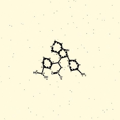 Nc1ccc(-c2[nH]c3ccccc3c2C(C[N+](=O)[O-])c2cccc(B(O)O)c2)cc1